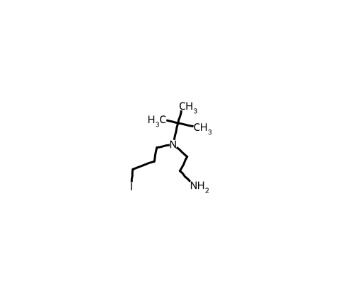 CC(C)(C)N(CCN)CCCI